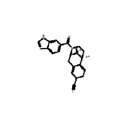 C[C@H]1C2CC3=CC(C#N)CC=C3[C@]1(C)CCN2C(=O)c1ccc2nc[nH]c2c1